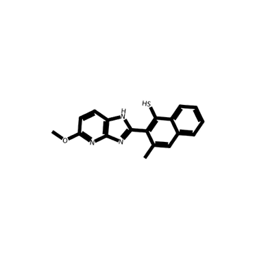 COc1ccc2[nH]c(-c3c(C)cc4ccccc4c3S)nc2n1